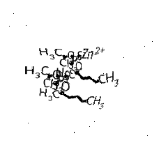 CCCCC(C)OP(=S)([S-])OC(C)C.CCCCC(C)OP(=S)([S-])OC(C)C.[Zn+2]